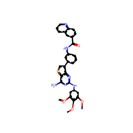 COc1cc(Nc2nc(N)c3scc(-c4cccc(NC(=O)c5ccc6ncccc6c5)c4)c3n2)cc(OC)c1OC